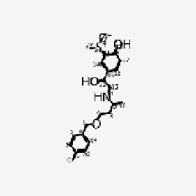 Cc1ccc(COCCC(C)NCC(O)c2ccc(O)c([S+](C)[O-])c2)cc1